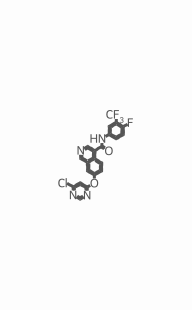 O=C(Nc1ccc(F)c(C(F)(F)F)c1)c1cncc2cc(Oc3cc(Cl)ncn3)ccc12